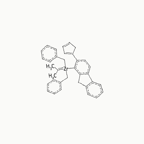 C[C](C)=[Zr]([CH2]c1ccccc1)([CH2]c1ccccc1)[c]1c(C2=CC=CC2)ccc2c1Cc1ccccc1-2